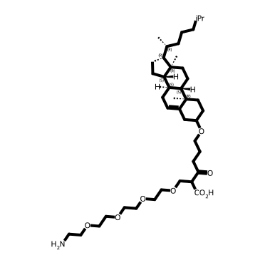 CC(C)CCC[C@@H](C)[C@H]1CC[C@H]2[C@@H]3CC=C4CC(OCCCC(=O)C(COCCOCCOCCOCCN)C(=O)O)CC[C@]4(C)[C@H]3CC[C@]12C